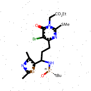 CCOC(=O)Cn1c(SC)nc(CCC(N[S@@+]([O-])C(C)(C)C)c2sc(C)nc2C)c(Br)c1=O